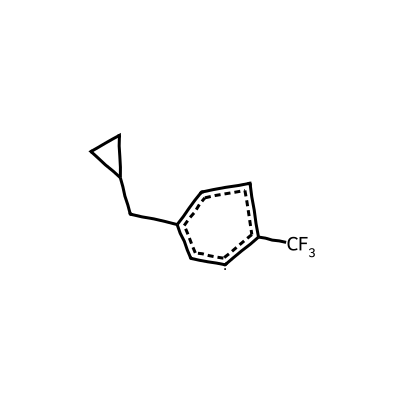 FC(F)(F)c1[c]cc(CC2CC2)cc1